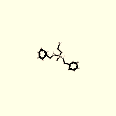 C[Si](CCBr)(OCc1ccccc1)OCc1ccccc1